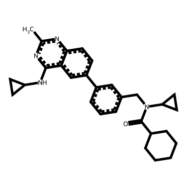 Cc1nc(NC2CC2)c2cc(-c3cccc(CN(C(=O)C4CCCCC4)C4CC4)c3)ccc2n1